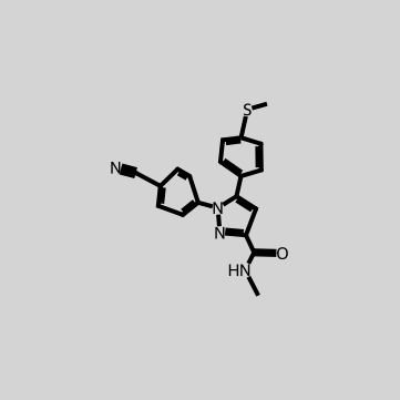 CNC(=O)c1cc(-c2ccc(SC)cc2)n(-c2ccc(C#N)cc2)n1